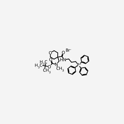 CN(CC1(C(=O)NCCC[P+](c2ccccc2)(c2ccccc2)c2ccccc2)CCOCC1)C(=O)OC(C)(C)C.[Br-]